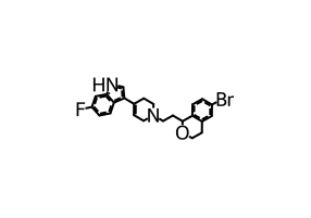 Fc1ccc2c(C3=CCN(CCC4OCCc5cc(Br)ccc54)CC3)c[nH]c2c1